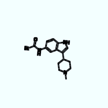 CCC(=O)Nc1ccc2[nH]cc(C3CCN(C)CC3)c2c1